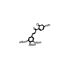 CCCCCCCCCc1cc(C=CC(=S)C2=CC=C(CCC)CC2=O)cc(CCCCCCCCC)c1CCCCCCCCC